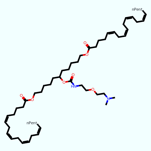 CCCCC/C=C\C/C=C\C/C=C\C/C=C\CCCC(=O)OCCCCCC(CCCCCOC(=O)CCC/C=C\C/C=C\C/C=C\C/C=C\CCCCC)OC(=O)NCCOCCN(C)C